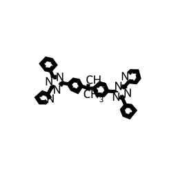 CC(C)(c1ccc(-c2nc(-c3ccccc3)nc(-c3ccccn3)n2)cc1)c1ccc(-c2nc(-c3ccccc3)nc(-c3ccccn3)n2)cc1